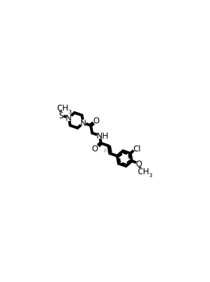 COc1ccc(/C=C/C(=O)NCC(=O)N2CCN(SC)CC2)cc1Cl